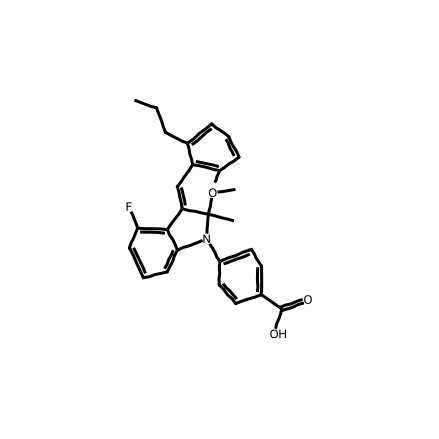 CCCc1cccc(C)c1/C=C1/c2c(F)cccc2N(c2ccc(C(=O)O)cc2)C1(C)OC